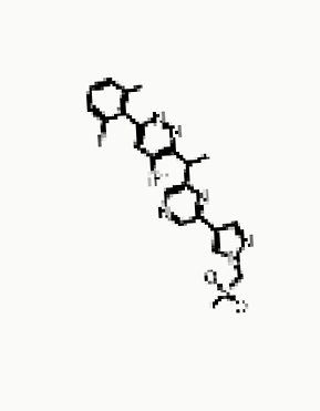 CC(C)c1cc(-c2c(F)cccc2F)nnc1C(C)c1cncc(-c2cnn(CS(C)(=O)=O)c2)n1